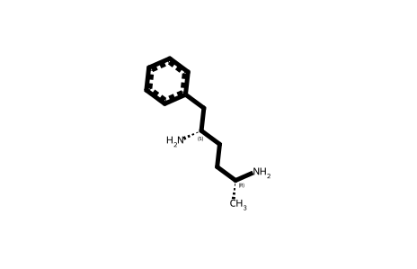 C[C@@H](N)CC[C@H](N)Cc1ccccc1